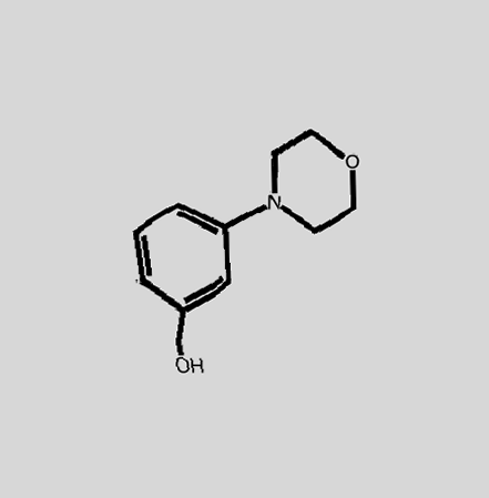 Oc1[c]ccc(N2CCOCC2)c1